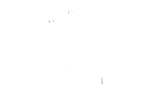 [CH2]C/C=C/CCC(CCCCCCC(CCCC)OC(C)C)OC(C)C